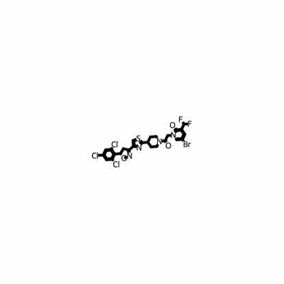 O=C(Cn1cc(Br)cc(C(F)F)c1=O)N1CCC(c2nc(C3=NOC(c4c(Cl)cc(Cl)cc4Cl)C3)cs2)CC1